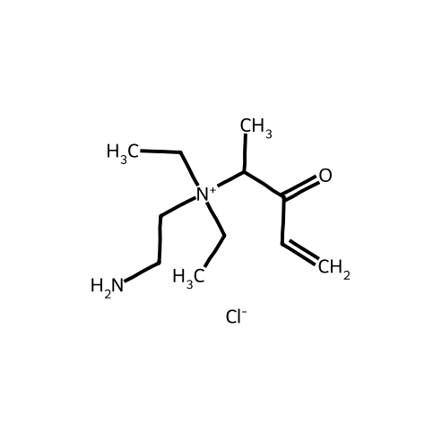 C=CC(=O)C(C)[N+](CC)(CC)CCN.[Cl-]